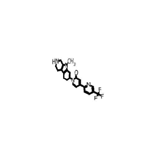 Cn1c2c(c3c1CNCC3)CCC(n1ccc(-c3ccc(C(F)(F)F)cn3)cc1=O)=C2